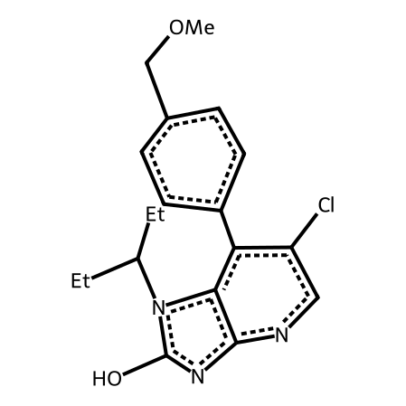 CCC(CC)n1c(O)nc2ncc(Cl)c(-c3ccc(COC)cc3)c21